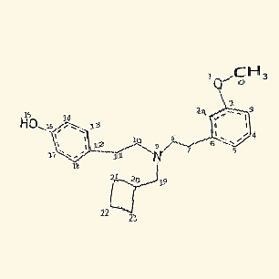 COc1cccc(CCN(CCc2ccc(O)cc2)CC2CCC2)c1